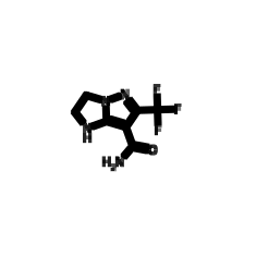 NC(=O)c1c(C(F)(F)F)nn2c1NCC2